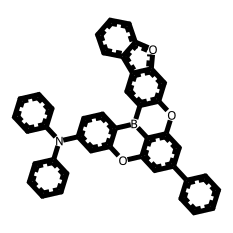 c1ccc(-c2cc3c4c(c2)Oc2cc5oc6ccccc6c5cc2B4c2ccc(N(c4ccccc4)c4ccccc4)cc2O3)cc1